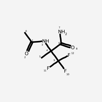 CC(=O)NC(C)(C(N)=O)C(F)(F)F